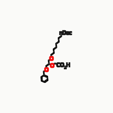 CCCCCCCCCCCCCCCCCCOCC(COCc1ccccc1)OCC(=O)O